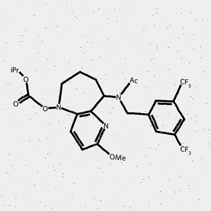 COc1ccc2c(n1)C(N(Cc1cc(C(F)(F)F)cc(C(F)(F)F)c1)C(C)=O)CCCN2OC(=O)OC(C)C